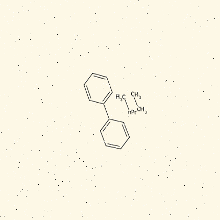 CC.CCCC.c1ccc(-c2ccccc2)cc1